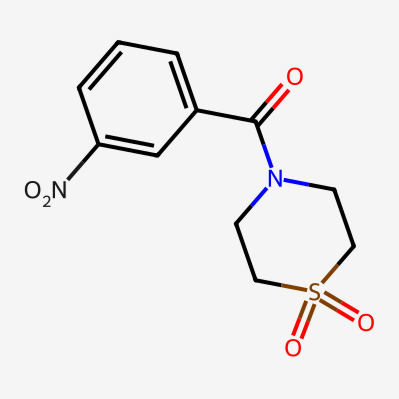 O=C(c1cccc([N+](=O)[O-])c1)N1CCS(=O)(=O)CC1